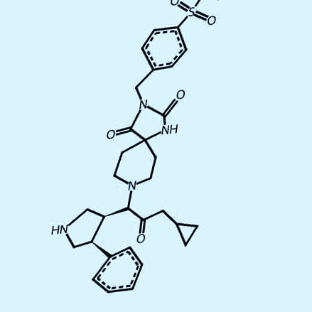 CS(=O)(=O)c1ccc(CN2C(=O)NC3(CCN(C(C(=O)CC4CC4)[C@@H]4CNC[C@@H]4c4ccccc4)CC3)C2=O)cc1